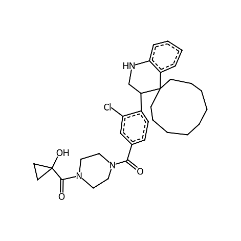 O=C(c1ccc(C2CNc3ccccc3C23CCCCCCCCC3)c(Cl)c1)N1CCN(C(=O)C2(O)CC2)CC1